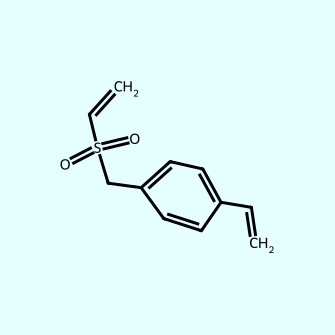 C=Cc1ccc(CS(=O)(=O)C=C)cc1